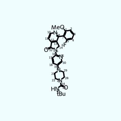 COc1cccc(F)c1-c1nccc2c1CN(c1ccc(N3CCN(C(=O)NC(C)(C)C)CC3)cn1)C2=O